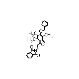 Cc1c(OCC2=CC=CCC2)c(C)c2coc(CCN3C(=O)c4ccccc4C3=O)c2c1C